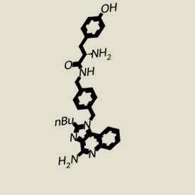 CCCCc1nc2c(N)nc3ccccc3c2n1Cc1ccc(CNC(=O)[C@@H](N)Cc2ccc(O)cc2)cc1